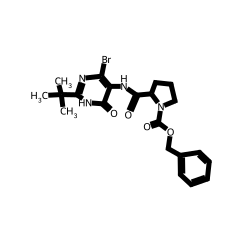 CC(C)(C)c1nc(Br)c(NC(=O)C2CCCN2C(=O)OCc2ccccc2)c(=O)[nH]1